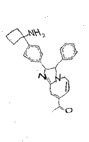 CC(=O)C1=CC2=NC(c3ccc(C4(N)CCC4)cc3)C(c3ccccc3)N2C=C1